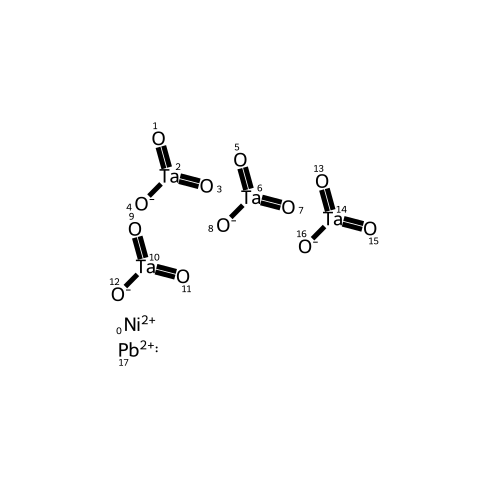 [Ni+2].[O]=[Ta](=[O])[O-].[O]=[Ta](=[O])[O-].[O]=[Ta](=[O])[O-].[O]=[Ta](=[O])[O-].[Pb+2]